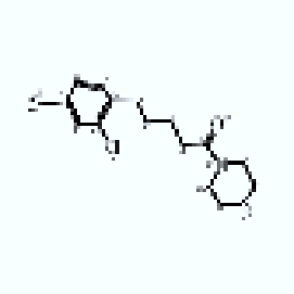 O=C(CCCCc1ccc(Cl)cc1Cl)N1CCSCC1